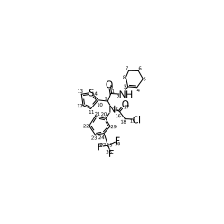 O=C(NC1=CCCCC1)C(c1cccs1)N(C(=O)CCl)c1cccc(C(F)(F)F)c1